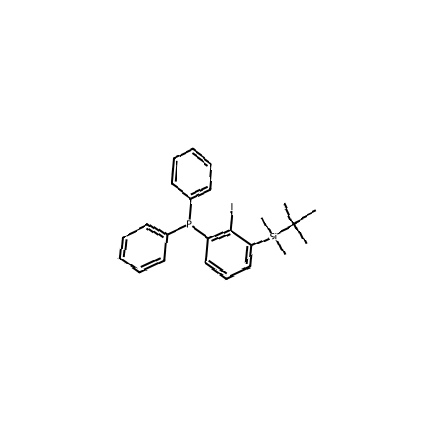 CC(C)(C)[Si](C)(C)c1cccc(P(c2ccccc2)c2ccccc2)c1I